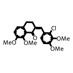 COc1ccc(C=C2CCc3ccc(OC)c(OC)c3C2=O)c(Cl)c1OC